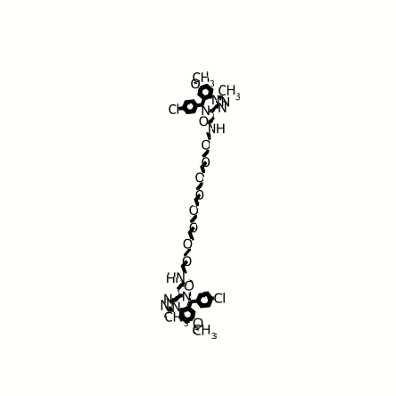 COc1ccc2c(c1)C(c1ccc(Cl)cc1)=N[C@@H](CC(=O)NCCOCCOCCOCCOCCOCCOCCOCCOCCNC(=O)C[C@@H]1N=C(c3ccc(Cl)cc3)c3cc(OC)ccc3-n3c(C)nnc31)c1nnc(C)n1-2